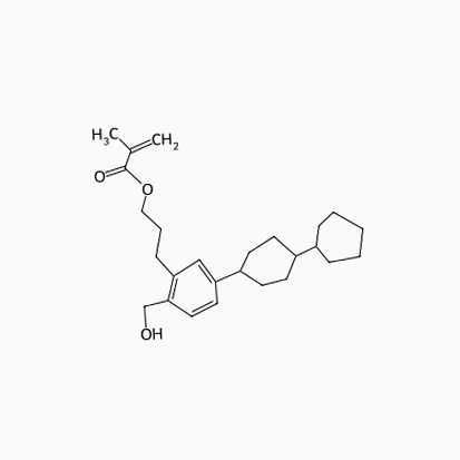 C=C(C)C(=O)OCCCc1cc(C2CCC(C3CCCCC3)CC2)ccc1CO